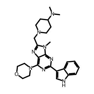 CN(C)C1CCN(Cc2nc3c(N4CCOCC4)nc(-c4c[nH]c5ccccc45)nc3n2C)CC1